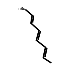 CC=CC=CC=CCCCC